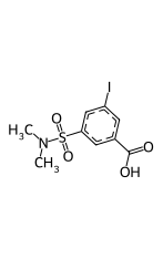 CN(C)S(=O)(=O)c1cc(I)cc(C(=O)O)c1